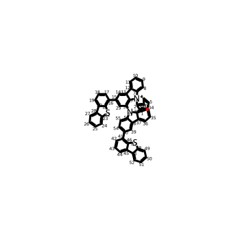 c1cc2cc(c1)[N+]21c2ccccc2-c2cc(-c3cccc4c3sc3ccccc34)cc(-n3c4ccccc4c4cc(-c5cccc6c5sc5ccccc56)ccc43)c21